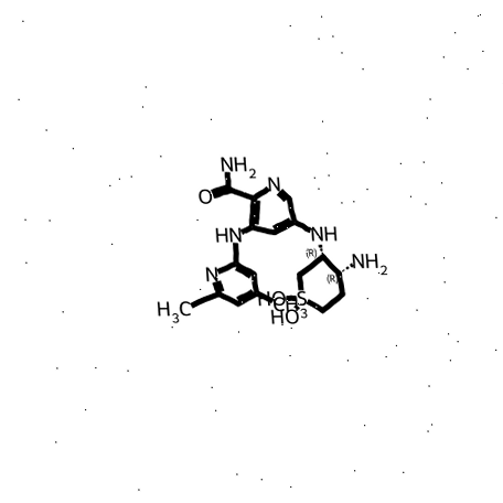 Cc1cc(C)nc(Nc2cc(N[C@H]3CS(O)(O)CC[C@H]3N)cnc2C(N)=O)c1